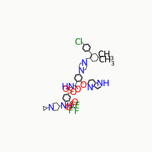 CC1(C)CCC(CN2CCN(c3ccc(C(=O)NS(=O)(=O)c4ccc(NC5CCN(C6CC6)CC5)c(S(=O)(=O)C(F)(F)F)c4)c(Oc4ccc5[nH]ccc5n4)c3)CC2)=C(c2ccc(Cl)cc2)C1